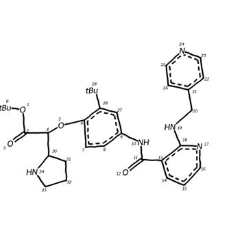 CC(C)(C)OC(=O)C(Oc1ccc(NC(=O)c2cccnc2NCc2ccncc2)cc1C(C)(C)C)C1CCCN1